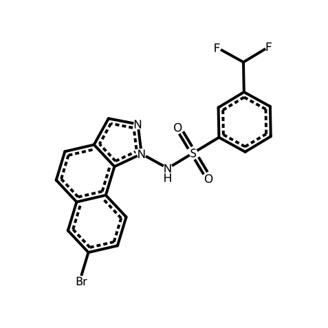 O=S(=O)(Nn1ncc2ccc3cc(Br)ccc3c21)c1cccc(C(F)F)c1